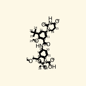 COCCc1cc(NC(=O)c2cc(N3CCC(=O)NC3=O)cc(C(C)(C)C)c2OC)ccc1N(C(=O)O)S(C)(=O)=O